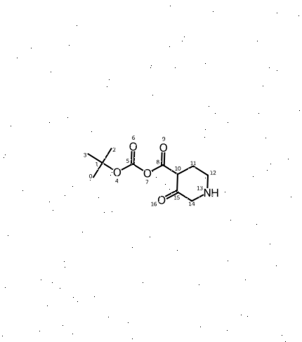 CC(C)(C)OC(=O)OC(=O)C1CCNCC1=O